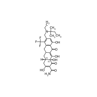 CCN(Cc1cc(O)c2c(c1C(F)(F)F)CC1C[C@H]3CC(O)=C(C(N)=O)C(=O)[C@@]3(O)C(O)=C1C2=O)C(C)(C)CC